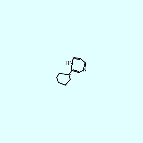 C1=CNC([C]2CCCCC2)=CN=C1